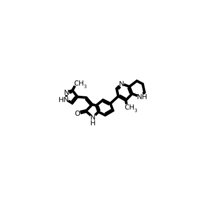 Cc1n[nH]cc1/C=C1\C(=O)Nc2ccc(-c3cnc4c(c3C)NCCC4)cc21